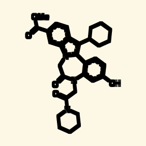 COC(=O)c1ccc2c(C3CCCCC3)c3n(c2c1)CC(=O)N(CC(=O)N1CCCCC1)c1cc(O)ccc1-3